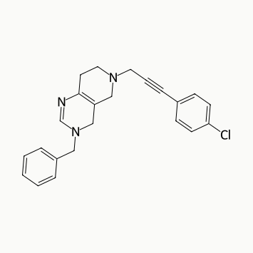 Clc1ccc(C#CCN2CCC3=C(CN(Cc4ccccc4)C=N3)C2)cc1